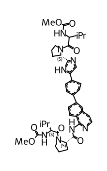 COC(=O)NC(C(=O)N1CCC[C@H]1c1ncc(-c2ccc(-c3ccc4c(NC(=O)[C@@H]5CCCN5C(=O)[C@@H](NC(=O)OC)C(C)C)nccc4c3)cc2)[nH]1)C(C)C